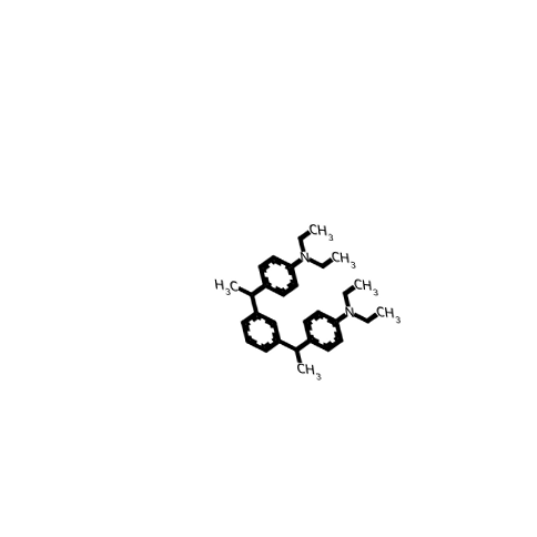 CCN(CC)c1ccc(C(C)c2cccc(C(C)c3ccc(N(CC)CC)cc3)c2)cc1